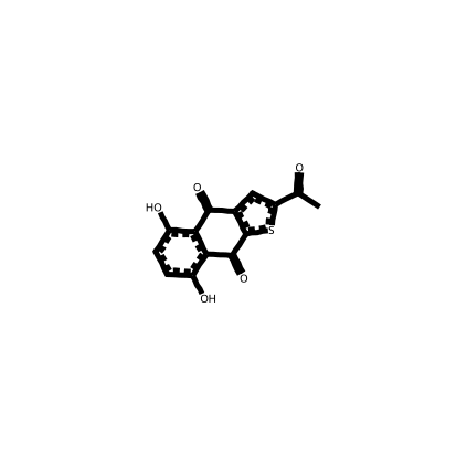 CC(=O)c1cc2c(s1)C(=O)c1c(O)ccc(O)c1C2=O